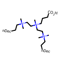 CCCCCCCCCCCC[N+](C)(C)CC[N+](C)(CCCC(=O)O)CC[N+](C)(C)CCCCCCCCCCCC